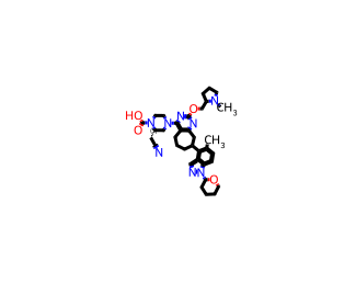 Cc1ccc2c(cnn2C2CCCCO2)c1C1CCCc2c(nc(OCC3CCCN3C)nc2N2CCN(C(=O)O)[C@@H](CC#N)C2)C1